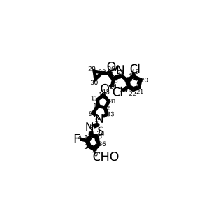 O=Cc1cc(F)c2nc(N3CC4CC(OCc5c(-c6c(Cl)cccc6Cl)noc5C5CC5)CC4C3)sc2c1